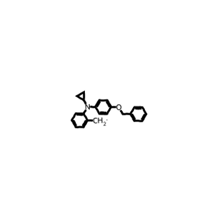 [CH2]c1ccccc1N(c1ccc(OCc2ccccc2)cc1)C1CC1